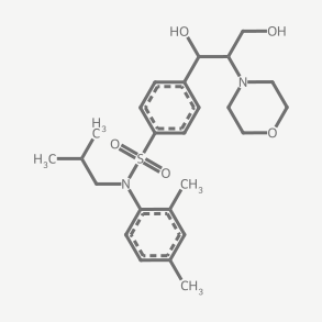 Cc1ccc(N(CC(C)C)S(=O)(=O)c2ccc(C(O)C(CO)N3CCOCC3)cc2)c(C)c1